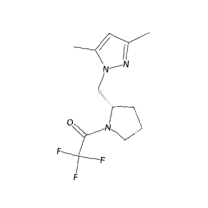 Cc1cc(C)n(C[C@@H]2CCCN2C(=O)C(F)(F)F)n1